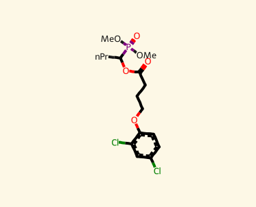 CCCC(OC(=O)CCCOc1ccc(Cl)cc1Cl)P(=O)(OC)OC